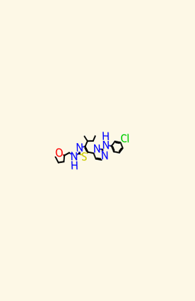 CCC(C)c1nc(NCC2CCCO2)sc1-c1ccnc(Nc2cccc(Cl)c2)n1